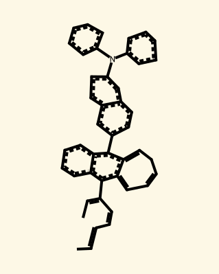 CC=C/C=C\C(=C/C)c1c2c(c(-c3ccc4cc(N(c5ccccc5)c5ccccc5)ccc4c3)c3ccccc13)=CCC=CC=2